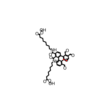 O=Cc1cccc(-c2ccc(C(=O)NCCCCCCCC(=O)OO)c(C(=O)NCCCCCCCC(=O)OO)c2-c2cccc(C=O)c2C=O)c1C=O